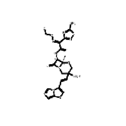 Nc1nc(C(=NOCF)C(=O)N[C@@H]2C(=O)N3CC(C=Cc4csc5cncn45)(C(=O)O)CS[C@H]23)ns1